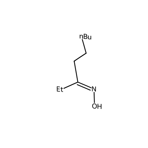 CCCCCCC(CC)=NO